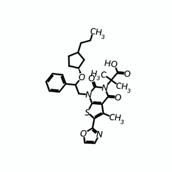 CCCC1CC[C@H](OC(Cn2c(=O)n(C(C)(C)C(=O)O)c(=O)c3c(C)c(-c4ncco4)sc32)c2ccccc2)C1